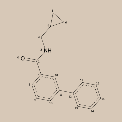 O=C(NCC1CC1)c1cccc(-c2ccccc2)c1